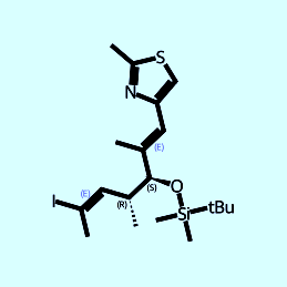 C/C(I)=C\[C@@H](C)[C@H](O[Si](C)(C)C(C)(C)C)/C(C)=C/c1csc(C)n1